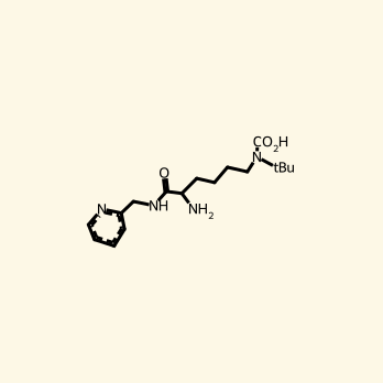 CC(C)(C)N(CCCCC(N)C(=O)NCc1ccccn1)C(=O)O